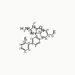 CN1C(=O)C(c2cccc(-c3ccccc3F)c2)(c2ccc(CF)cn2)N=C1N